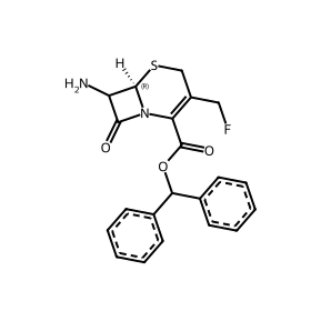 NC1C(=O)N2C(C(=O)OC(c3ccccc3)c3ccccc3)=C(CF)CS[C@H]12